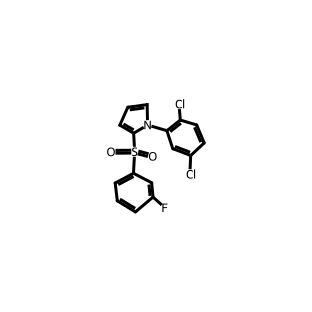 O=S(=O)(c1cccc(F)c1)c1cccn1-c1cc(Cl)ccc1Cl